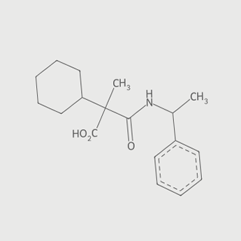 CC(NC(=O)C(C)(C(=O)O)C1CCCCC1)c1ccccc1